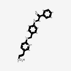 O=C(O)/C=C/c1ccc(OCc2ccc(OCC(=O)c3ccccc3)cc2)nc1